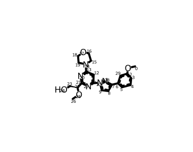 COc1cccc(-c2ccn(-c3cc(N4CCOCC4)nc([C@H](CO)OC)n3)n2)c1